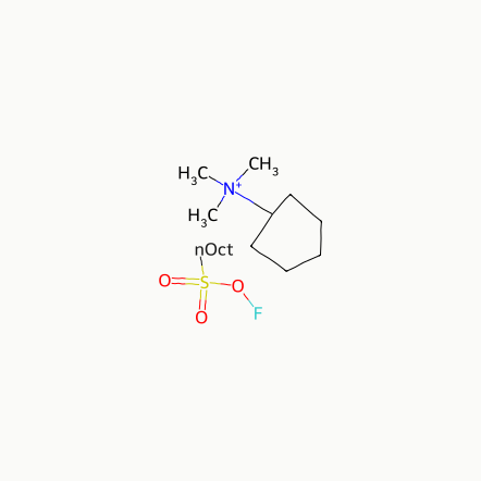 CCCCCCCCS(=O)(=O)OF.C[N+](C)(C)C1CCCCC1